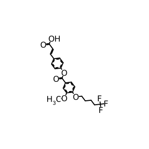 COc1cc(C(=O)Oc2ccc(C=CC(=O)O)cc2)ccc1OCCCCC(F)(F)F